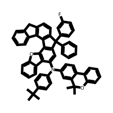 CC(C)(C)c1ccc(N(c2ccc3c(c2)C(C)(C)Oc2ccccc2-3)c2cc3c(c4oc5ccccc5c24)-c2c(ccc4c2-c2ccccc2C4)C3(c2ccccc2)c2cccc(F)c2)cc1